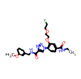 CCNC(=O)c1ccc(-n2cc(C(=O)NCc3cccc(OC)c3)nn2)c(OCCOCCF)c1